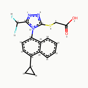 O=C(O)CSc1nnc(C(F)F)n1-c1ccc(C2CC2)c2ccccc12